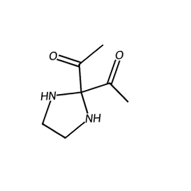 CC(=O)C1(C(C)=O)NCCN1